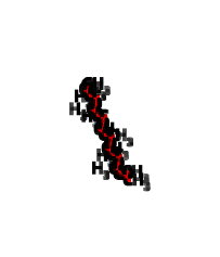 CCC(CCCOOCCC(CC)CCCOOCCC(CC)CCCOOCCC(CC)CCCOOCCC(CC)CCCOOCCC(CC)CCCOOCCC(CC)CCCOOCCC(CC)CCCOOCCC(CC)CCCOOCCC(CC)CCCOC)CCOC